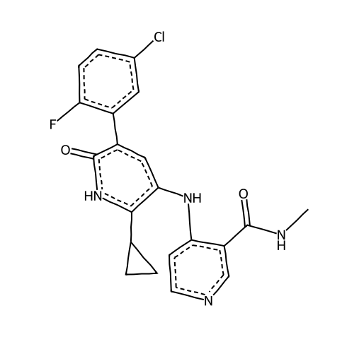 CNC(=O)c1cnccc1Nc1cc(-c2cc(Cl)ccc2F)c(=O)[nH]c1C1CC1